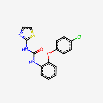 O=C(Nc1nccs1)Nc1ccccc1Oc1ccc(Cl)cc1